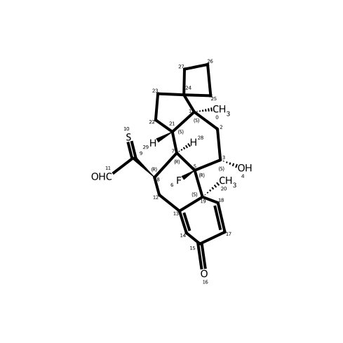 C[C@]12C[C@H](O)[C@@]3(F)[C@@H]([C@H](C(=S)C=O)CC4=CC(=O)C=C[C@@]43C)[C@@H]1CCC21CCC1